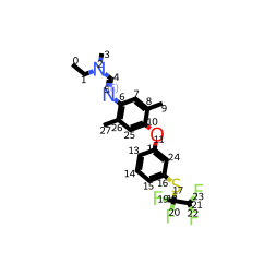 CCN(C)/C=N/c1cc(C)c(Oc2cccc(SC(F)(F)C(F)F)c2)cc1C